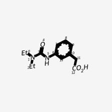 CCN(CC)C(=O)Nc1cccc(CC(=O)O)c1